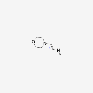 C=N/C=C/N1CCOCC1